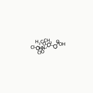 CC(C)Oc1ccc(-c2cccc(C(=O)O)c2)cc1CNC(=O)c1ccc(Cl)cc1Cl